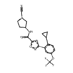 N#CN1CCC(NC(=O)c2nc(-c3cc(OC(F)(F)F)ccc3C3CC3)no2)C1